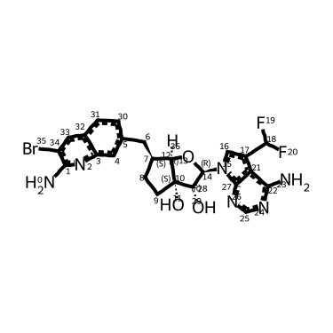 Nc1nc2cc(C[C@@H]3CC[C@@]4(O)[C@@H]3O[C@@H](n3cc(C(F)F)c5c(N)ncnc53)[C@@H]4O)ccc2cc1Br